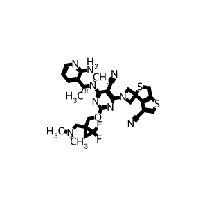 C[C@H](c1cccnc1N)N(C)c1nc(OCC2(CN(C)C)CC2(F)F)nc(N2CC3(C2)SCc2scc(C#N)c23)c1C#N